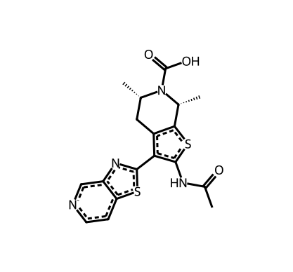 CC(=O)Nc1sc2c(c1-c1nc3cnccc3s1)C[C@H](C)N(C(=O)O)[C@@H]2C